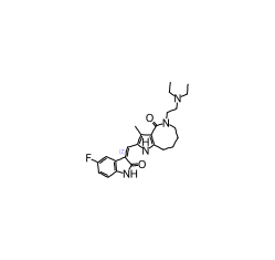 CCN(CC)CCN1CCCCc2[nH]c(/C=C3\C(=O)Nc4ccc(F)cc43)c(C)c2C1=O